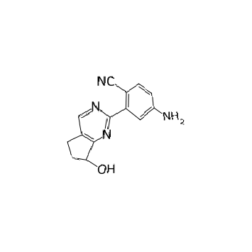 N#Cc1ccc(N)cc1-c1ncc2c(n1)C(O)CC2